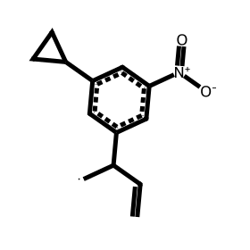 [CH2]C(C=C)c1cc(C2CC2)cc([N+](=O)[O-])c1